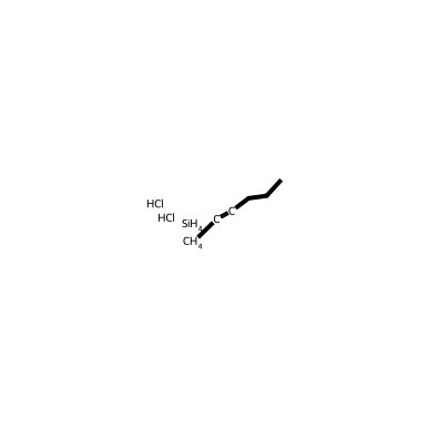 C.CCCCCC.Cl.Cl.[SiH4]